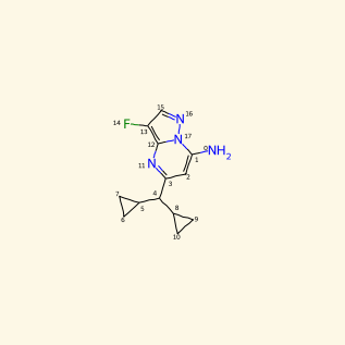 Nc1cc(C(C2CC2)C2CC2)nc2c(F)cnn12